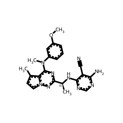 COc1cccc(N(C)c2nc([C@H](C)Nc3ncnc(N)c3C#N)nn3ccc(C)c23)c1